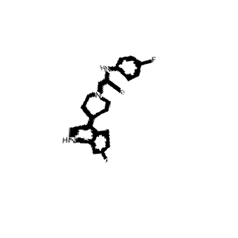 O=C(CN1CCC(c2c[nH]c3cc(F)ccc23)CC1)Nc1ccc(F)cc1